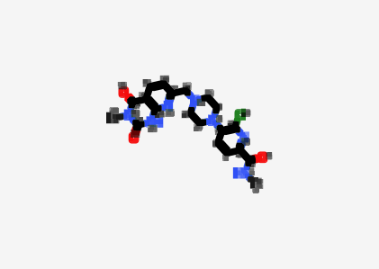 CCNC(=O)c1ccc(N2CCN(Cc3ccc4c(=O)n(CC)c(=O)[nH]c4n3)CC2)c(Cl)n1